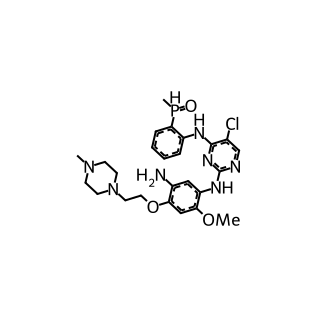 COc1cc(OCCN2CCN(C)CC2)c(N)cc1Nc1ncc(Cl)c(Nc2ccccc2[PH](C)=O)n1